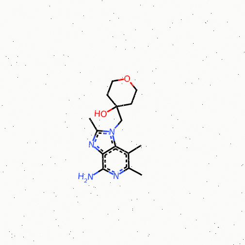 Cc1nc(N)c2nc(C)n(CC3(O)CCOCC3)c2c1C